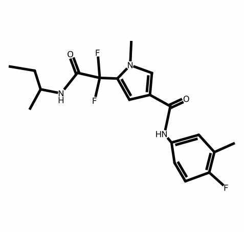 CCC(C)NC(=O)C(F)(F)c1cc(C(=O)Nc2ccc(F)c(C)c2)cn1C